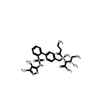 CCCC(=O)[N+](C)(Cc1ccc(-c2ccccc2S(=O)(=O)Nc2onc(C)c2C)cc1)[C@H](C(N)=O)[C@@H](C)CC